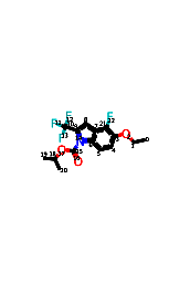 CCOc1ccc2c(cc(C(F)(F)F)n2C(=O)OC(C)C)c1F